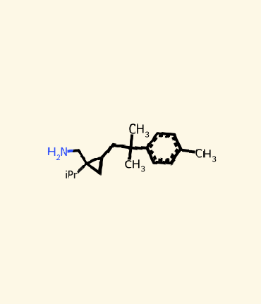 Cc1ccc(C(C)(C)CC2CC2(CN)C(C)C)cc1